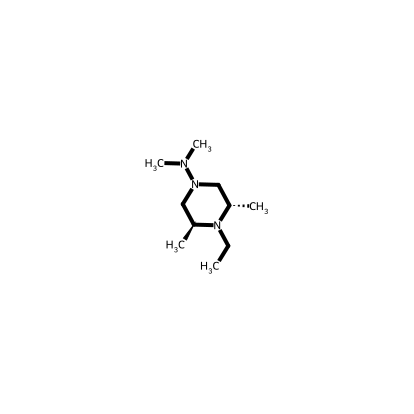 CCN1[C@@H](C)CN(N(C)C)C[C@@H]1C